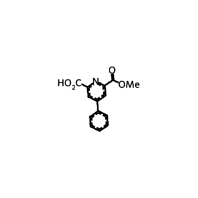 COC(=O)c1cc(-c2ccccc2)cc(C(=O)O)n1